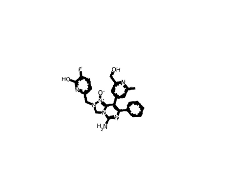 Cc1cc(C2=C(c3ccccc3)N=C(N)N3CN(Cc4ccc(F)c(O)n4)[N+]([O-])=C23)cc(CO)n1